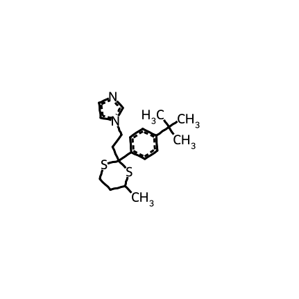 CC1CCSC(CCn2ccnc2)(c2ccc(C(C)(C)C)cc2)S1